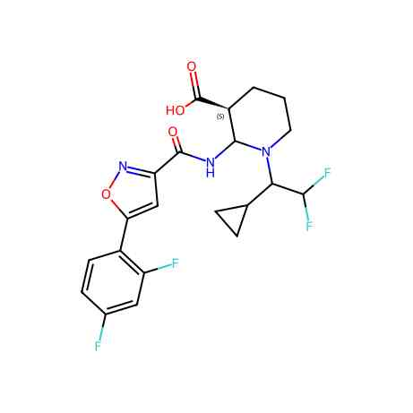 O=C(NC1[C@@H](C(=O)O)CCCN1C(C(F)F)C1CC1)c1cc(-c2ccc(F)cc2F)on1